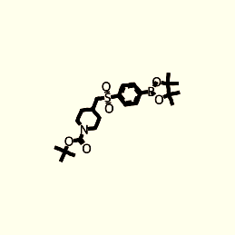 CC(C)(C)OC(=O)N1CCC(CS(=O)(=O)c2ccc(B3OC(C)(C)C(C)(C)O3)cc2)CC1